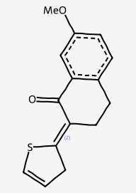 COc1ccc2c(c1)C(=O)/C(=C1/CC=CS1)CC2